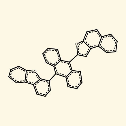 c1ccc2c(c1)ccc1oc(-c3c4ccccc4c(-c4cccc5c4oc4ccccc45)c4ccccc34)cc12